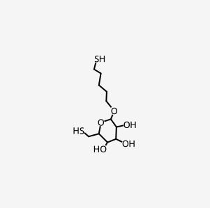 OC1C(CS)OC(OCCCCCS)C(O)C1O